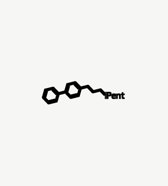 CCCC(C)CCCc1ccc(-c2ccccc2)cc1